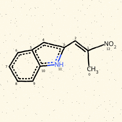 CC(=Cc1cc2ccccc2[nH]1)[N+](=O)[O-]